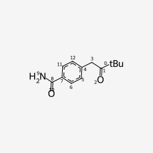 CC(C)(C)C(=O)Cc1ccc(C(N)=O)cc1